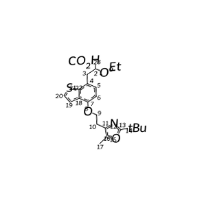 CCOC(Cc1ccc(OCCc2nc(C(C)(C)C)oc2C)c2ccsc12)C(=O)O